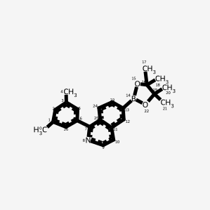 Cc1cc(C)cc(-c2nccc3cc(B4OC(C)(C)C(C)(C)O4)ccc23)c1